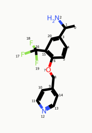 CC(N)c1ccc(OCc2ccncc2)c(C(F)(F)F)c1